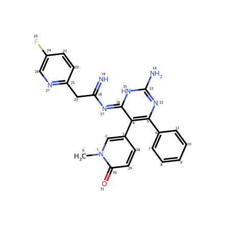 Cn1cc(-c2c(-c3ccccc3)nc(N)[nH]/c2=N\C(=N)Cc2ccc(F)cn2)ccc1=O